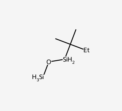 CCC(C)(C)[SiH2]O[SiH3]